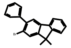 CC1(C)c2ccccc2-c2cc(-c3ccccc3)c(Br)cc21